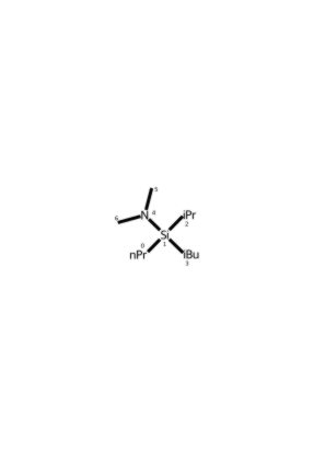 CCC[Si](C(C)C)(C(C)CC)N(C)C